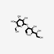 O=C[C@H](OC1O[C@H](CO)[C@@H](O)[C@H](O)[C@H]1O)[C@@H](O)[C@H](O)[C@H](O)CO